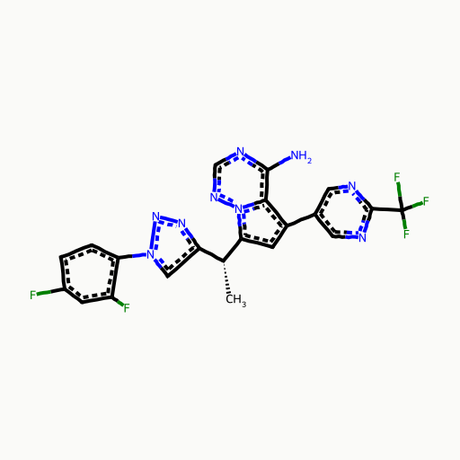 C[C@H](c1cn(-c2ccc(F)cc2F)nn1)c1cc(-c2cnc(C(F)(F)F)nc2)c2c(N)ncnn12